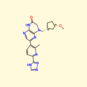 CO[C@H]1CC[C@@H](CN2CC(=O)Nc3ncc(-c4ccc(-c5nnc[nH]5)nc4C)nc32)C1